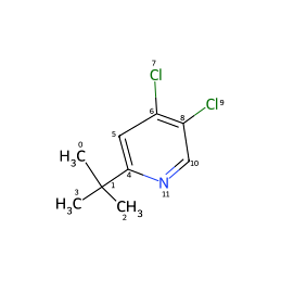 CC(C)(C)c1cc(Cl)c(Cl)cn1